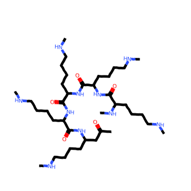 CNCCCCC(CC(C)=O)NC(=O)C(CCCCNC)NC(=O)C(CCCCNC)NC(=O)C(CCCCNC)NC(=O)C(CCCCNC)NC